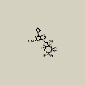 CC(=O)Nc1nc(N2CCC2)c2ncn([C@@H]3O[C@@H]4CO[Si](C(C)C)(C(C)C)O[Si](C(C)C)(C(C)C)O[C@H]4[C@H]3O)c2n1